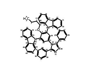 CCCCOc1c(-n2c3ccccc3c3ccccc32)cc(-n2c(-c3ccccc3)nnc2-c2ccccc2)cc1-n1c2ccccc2c2ccccc21